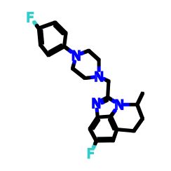 CC1CCc2cc(F)cc3nc(CN4CCN(c5ccc(F)cc5)CC4)n1c23